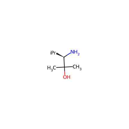 CC(C)[C@@H](N)C(C)(C)O